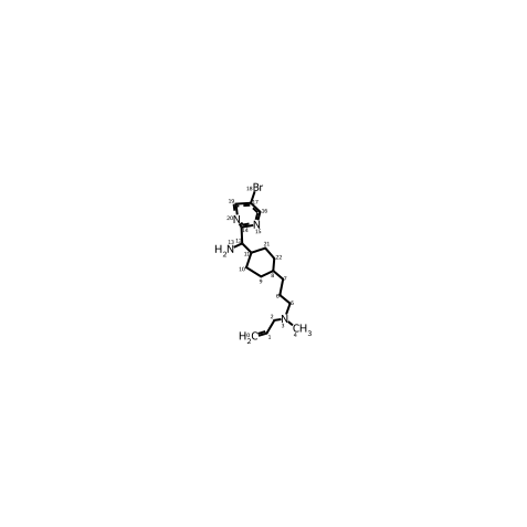 C=CCN(C)CCCC1CCC(C(N)c2ncc(Br)cn2)CC1